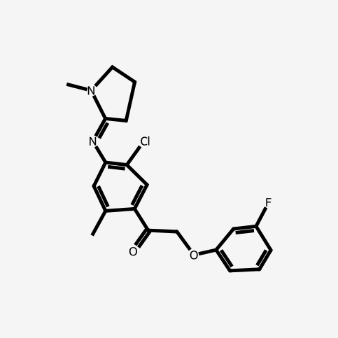 Cc1cc(/N=C2\CCCN2C)c(Cl)cc1C(=O)COc1cccc(F)c1